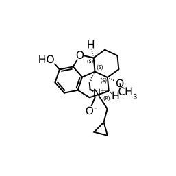 CO[C@@]12CCC[C@@H]3Oc4c(O)ccc5c4[C@@]31CC[N+]([O-])(CC1CC1)[C@@H]2C5